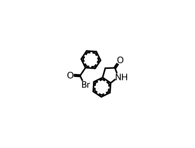 O=C(Br)c1ccccc1.O=C1Cc2ccccc2N1